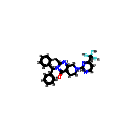 Cc1nc2c(c(=O)n1C(c1ccccc1)c1ccccc1)CCN(c1nccc(C(F)(F)F)n1)C2